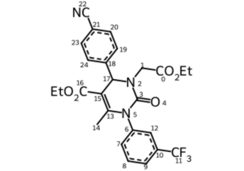 CCOC(=O)CN1C(=O)N(c2cccc(C(F)(F)F)c2)C(C)=C(C(=O)OCC)C1c1ccc(C#N)cc1